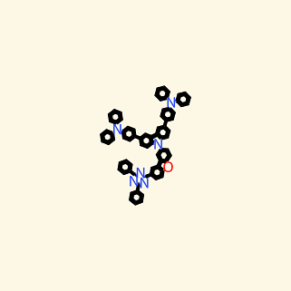 c1ccc(-c2nc(-c3ccccc3)nc(-c3ccc4oc5ccc(-n6c7ccc(-c8ccc(N(c9ccccc9)c9ccccc9)cc8)cc7c7cc(-c8ccc(N(c9ccccc9)c9ccccc9)cc8)ccc76)cc5c4c3)n2)cc1